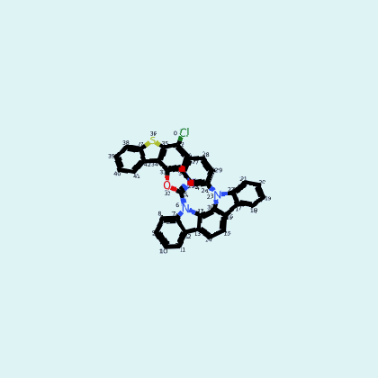 Clc1cc2nc(-n3c4ccccc4c4ccc5c6ccccc6n(-c6ccccc6)c5c43)oc2c2c1sc1ccccc12